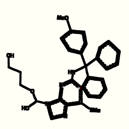 COc1ccc(C(Nc2nc(SC)c3ncn(C(O)OCCCO)c3n2)(c2ccccc2)c2ccccc2)cc1